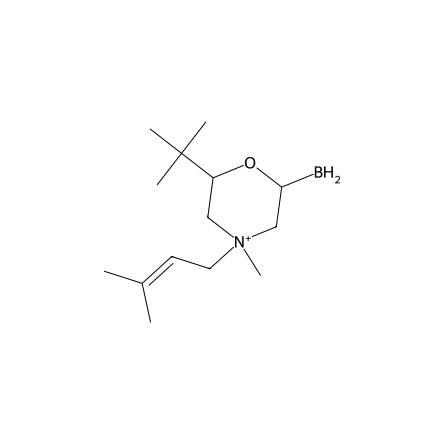 BC1C[N+](C)(CC=C(C)C)CC(C(C)(C)C)O1